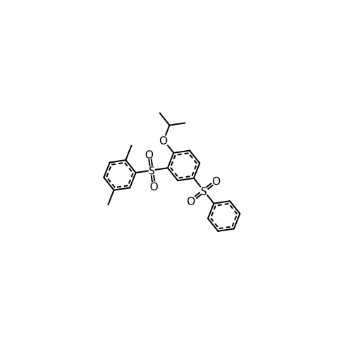 Cc1ccc(C)c(S(=O)(=O)c2cc(S(=O)(=O)c3ccccc3)ccc2OC(C)C)c1